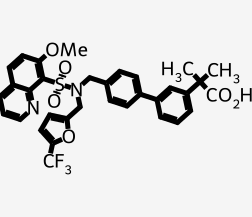 COc1ccc2cccnc2c1S(=O)(=O)N(Cc1ccc(-c2cccc(C(C)(C)C(=O)O)c2)cc1)Cc1ccc(C(F)(F)F)o1